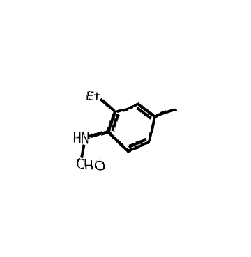 CCc1cc(C)ccc1NC=O